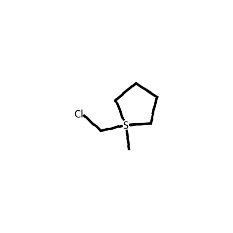 CS1(CCl)CCCC1